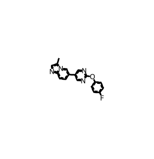 Cc1cnc2ccc(-c3cnc(Oc4ccc(F)cc4)nc3)cn12